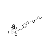 CCOCCOCCOc1ccc(CCC[C@@H](OS(C)(=O)=O)C(=O)O)cc1